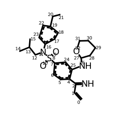 C=CC(=N)c1ccc(S(=O)(=O)N(CC(C)C)c2ccc(CC)cc2)cc1NC1CCCCO1